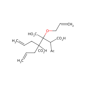 C=CCOC(C(=O)O)(C(C(C)=O)C(=O)O)C(CC=C)(CC=C)C(=O)O